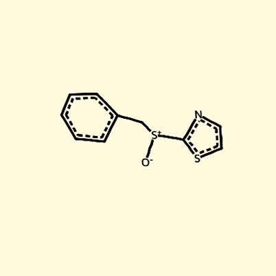 [O-][S+](Cc1ccccc1)c1nccs1